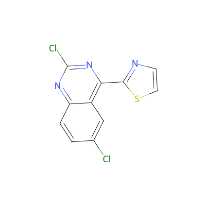 Clc1ccc2nc(Cl)nc(-c3nccs3)c2c1